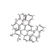 N#Cc1ccc(-c2c(-c3ccccc3)c(N3c4ccccc4Oc4ccccc43)nc(-c3ccccc3)c2N2c3ccccc3Oc3ccccc32)cc1C#N